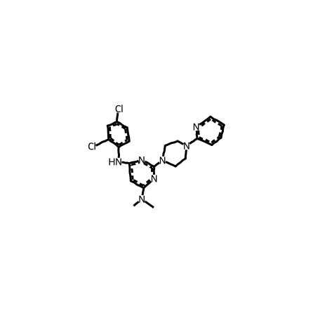 CN(C)c1cc(Nc2ccc(Cl)cc2Cl)nc(N2CCN(c3ccccn3)CC2)n1